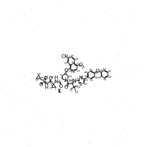 C=C[C@@H]1C[C@]1(NC(=O)[C@@H]1C[C@@H](Oc2ncc(OC)c3ccc(Cl)cc23)CN1C(=O)[C@@H](Nc1nc(-c2ccc(Oc3ccccc3)cc2)cs1)C(C)(C)C)C(=O)NS(=O)(=O)C1CC1